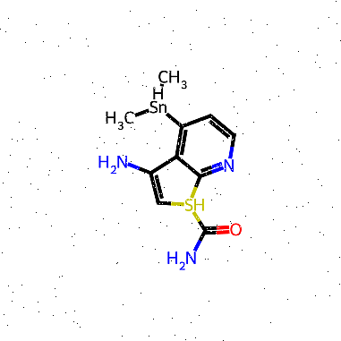 [CH3][SnH]([CH3])[c]1ccnc2c1C(N)=C[SH]2C(N)=O